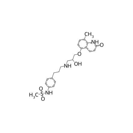 Cc1ccc(OCC(O)CNCCCc2ccc(NS(C)(=O)=O)cc2)c2ccc(=O)[nH]c12